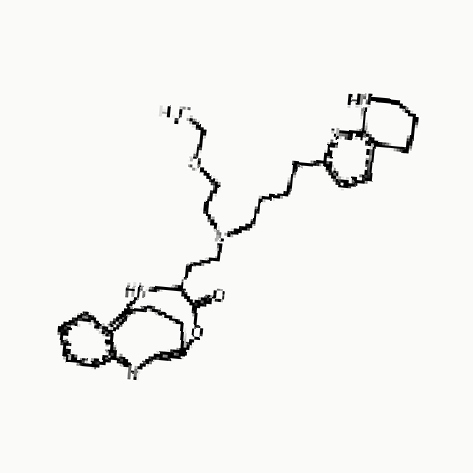 CCOCCN(CCCCc1ccc2c(n1)NCCC2)CC[C@@H]1N\C2=c3/cccc/c3=N/C=C(/CC2)OC1=O